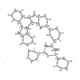 C1=C(c2ccccc2)N=C(c2cccc(-c3ccc4sc5c6ccccc6c6nc7ccccc7n6c5c4c3)c2)NC1c1ccccc1